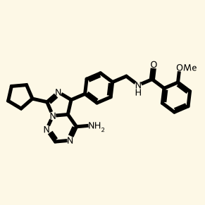 COc1ccccc1C(=O)NCc1ccc(C2N=C(C3CCCC3)N3N=CN=C(N)C23)cc1